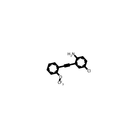 Nc1ccc(Cl)cc1C#Cc1ccccc1OC(F)(F)F